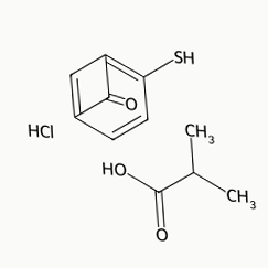 CC(C)C(=O)O.Cl.O=C1c2ccc(S)c1c2